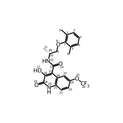 Cc1cccc(C)c1OC[C@@H](C)NC(=O)c1c(O)c(=O)[nH]c2ccc(OC(F)(F)F)cc12